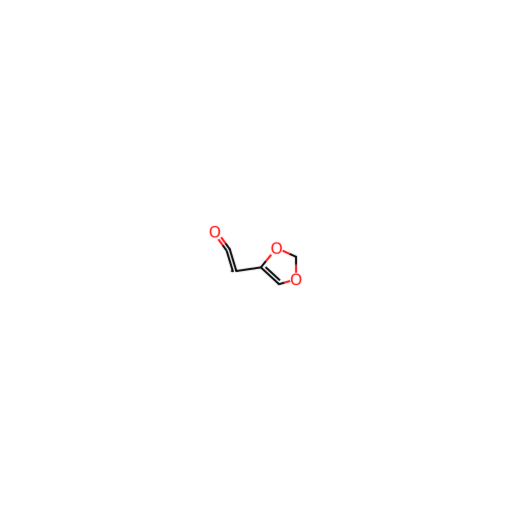 O=C=[C]C1=COCO1